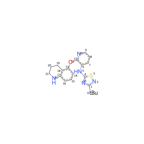 CC(C)(C)c1nsc(Nc2cccnc2Oc2cccc3c2CCCN3)n1